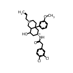 C=CCN1CCC2(c3cccc(OC)c3)C[C@H](NC(=O)Cc3ccc(Cl)c(Cl)c3)CC(O)C2C1